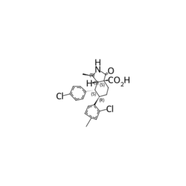 Cc1ccc([C@@H]2CC[C@@]3(C(=O)O)C(=O)N[C@H](C)[C@H]3[C@H]2c2ccc(Cl)cc2)c(Cl)c1